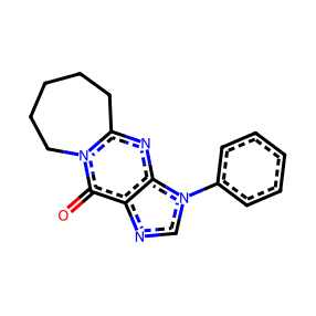 O=c1c2ncn(-c3ccccc3)c2nc2n1CCCCC2